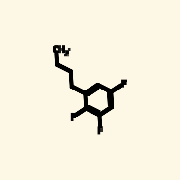 [CH2]CCCc1cc(F)cc(F)c1F